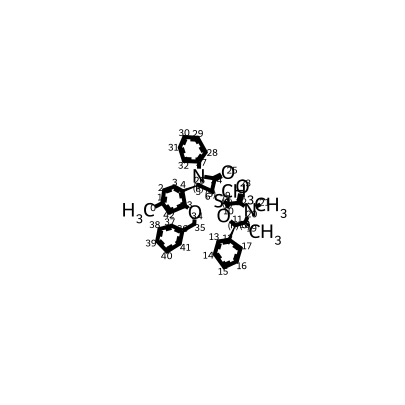 Cc1ccc([C@@H]2[C@H](S[C@@]3(C)O[C@H](c4ccccc4)[C@H](C)N(C)C3=O)C(=O)N2c2ccccc2)c(OCc2ccccc2)c1